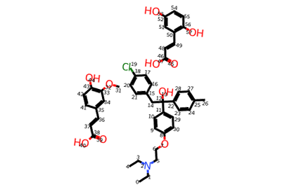 CCN(CC)CCOc1ccc(C(O)(Cc2ccc(Cl)cc2)c2ccc(C)cc2)cc1.COc1cc(/C=C/C(=O)O)ccc1O.O=C(O)/C=C/c1cc(O)ccc1O